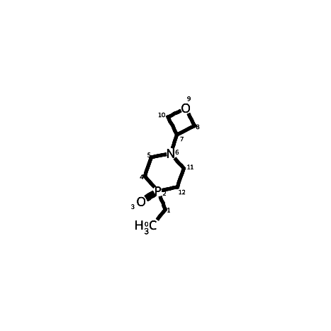 CCP1(=O)CCN(C2COC2)CC1